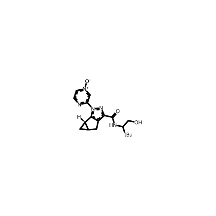 CC(C)(C)C(CO)NC(=O)c1nn(-c2c[n+]([O-])ccn2)c2c1CC1C[C@H]21